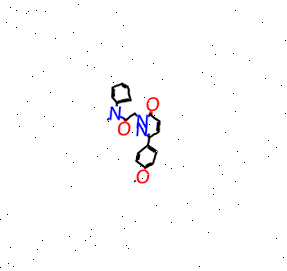 COc1ccc(-c2ccc(=O)n(CC(=O)N(C)c3ccccc3)n2)cc1